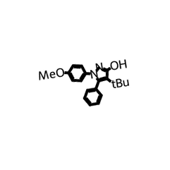 COc1ccc(-n2nc(O)c(C(C)(C)C)c2-c2ccccc2)cc1